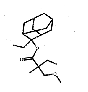 CCC(C)(COC)C(=O)OC1(CC)C2CC3CC(C2)CC1C3